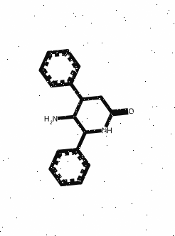 NC1C(c2ccccc2)CC(=O)NC1c1ccccc1